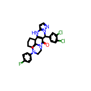 O=C(C1=C(C2CCCCC2)Nc2ccnn2C1c1ccc(Cl)c(Cl)c1)N1CCN(c2ccc(F)cc2)CC1